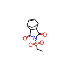 CCS(=O)(=O)N1C(=O)C2C3C=CC(CC3)C2C1=O